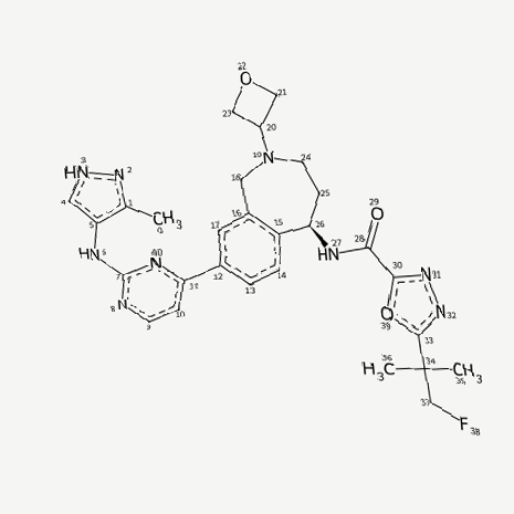 Cc1n[nH]cc1Nc1nccc(-c2ccc3c(c2)CN(C2COC2)CC[C@H]3NC(=O)c2nnc(C(C)(C)CF)o2)n1